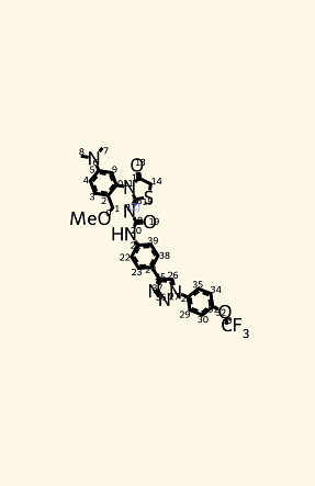 COCc1ccc(N(C)C)cc1N1C(=O)CS/C1=N\C(=O)Nc1ccc(-c2cn(-c3ccc(OC(F)(F)F)cc3)nn2)cc1